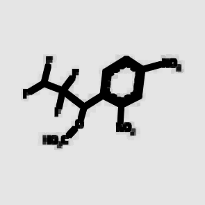 O=C(O)OC(c1ccc([N+](=O)[O-])cc1[N+](=O)[O-])C(F)(F)C(F)F